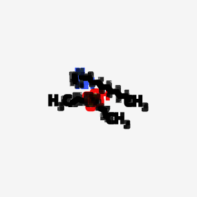 CCCCCCCCCCc1ncc[nH]1.CCCCOP(=O)(O)OCCCC